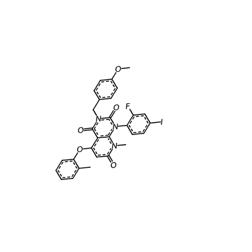 COc1ccc(Cn2c(=O)c3c(Oc4ccccc4C)cc(=O)n(C)c3n(-c3ccc(I)cc3F)c2=O)cc1